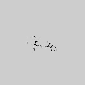 C=C(C)S/C(NC(=O)NCc1c(Br)sc2c1CCNC2)=C(\CC)C(=O)OC(C)(C)C